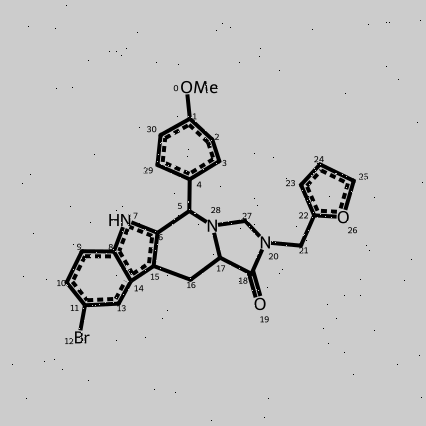 COc1ccc(C2c3[nH]c4ccc(Br)cc4c3CC3C(=O)N(Cc4ccco4)CN32)cc1